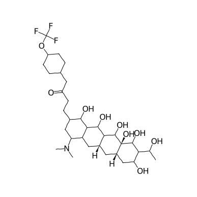 CC(O)C1C(O)C[C@@H]2C[C@@H]3CC4C(C(O)C(CCC(=O)CC5CCC(OC(F)(F)F)CC5)CC4N(C)C)C(O)C3C(O)[C@]2(O)C1O